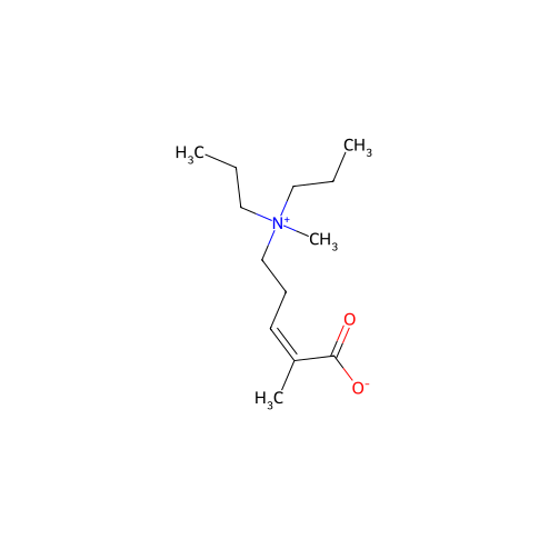 CCC[N+](C)(CCC)CCC=C(C)C(=O)[O-]